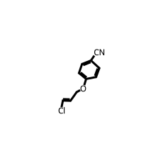 N#Cc1ccc(OCC=CCl)cc1